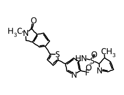 CC1C=CC=NC1S(=O)(=O)Nc1cc(-c2ccc(-c3ccc4c(c3)CN(C)C4=O)s2)cnc1F